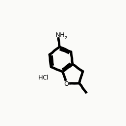 CC1Cc2cc(N)ccc2O1.Cl